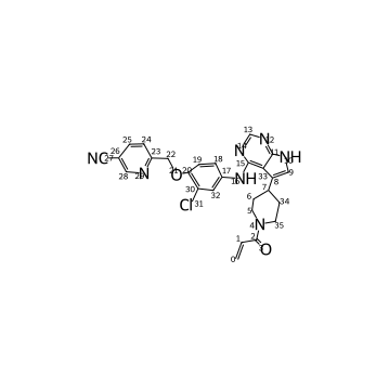 C=CC(=O)N1CCC(c2c[nH]c3ncnc(Nc4ccc(OCc5ccc(C#N)cn5)c(Cl)c4)c23)CC1